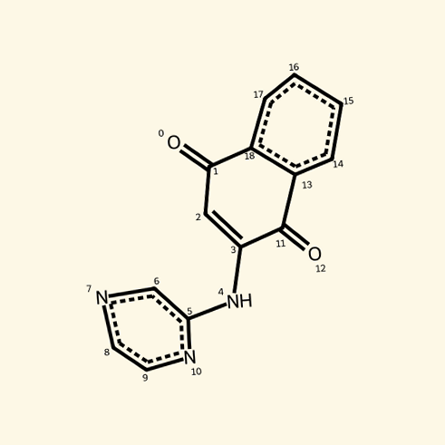 O=C1C=C(Nc2cnccn2)C(=O)c2ccccc21